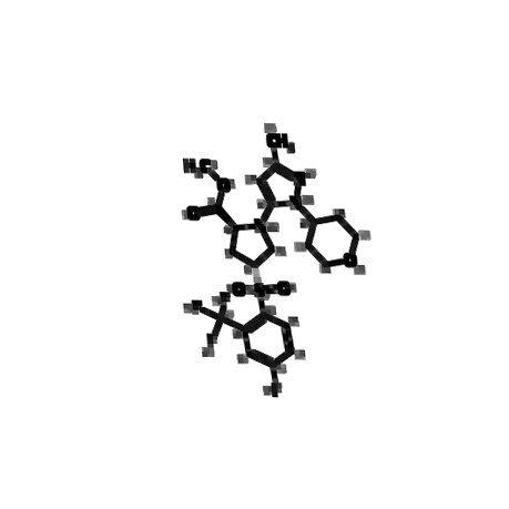 COC(=O)[C@@H]1C[C@@H](S(=O)(=O)c2ccc(F)cc2C(F)(F)F)CN1c1cc(C)nn1C1CCOCC1